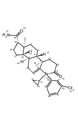 C[C@]12CC[C@H]3[C@@H](CC=C4[C@]3(C)CCC(=O)[N+]4(c3cccc(C(F)(F)F)c3)C3CC3)[C@@H]1CC[C@@H]2C(N)=O